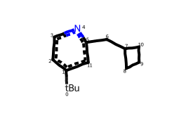 CC(C)(C)c1ccnc(CC2CCC2)c1